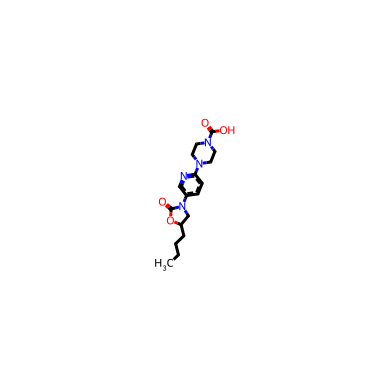 CCCCC1CN(c2ccc(N3CCN(C(=O)O)CC3)nc2)C(=O)O1